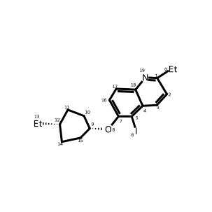 CCc1ccc2c(I)c(O[C@H]3CC[C@@H](CC)CC3)ccc2n1